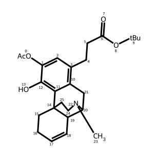 CC(=O)Oc1cc(CCC(=O)OC(C)(C)C)c2c(c1O)C13CCC=CC1C(C2)N(C)CC3